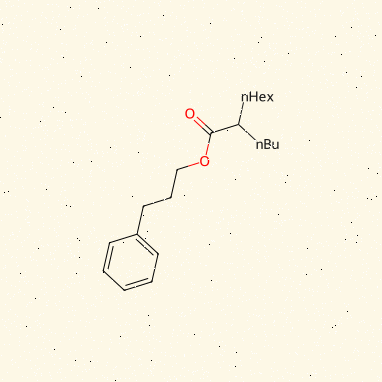 CCCCCCC(CCCC)C(=O)OCCCc1ccccc1